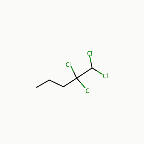 CCCC(Cl)(Cl)C(Cl)Cl